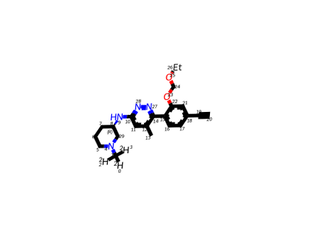 [2H]C([2H])([2H])N1CCC[C@@H](Nc2cc(C)c(-c3ccc(C#C)cc3OCOCC)nn2)C1